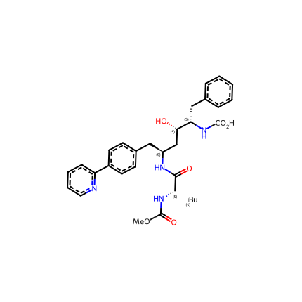 CC[C@H](C)[C@H](NC(=O)OC)C(=O)N[C@@H](Cc1ccc(-c2ccccn2)cc1)C[C@H](O)[C@H](Cc1ccccc1)NC(=O)O